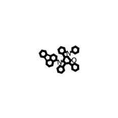 c1ccc(-n2c3ccccc3c3c2c2oc4ccccc4c2c2c4ccccc4n(-c4ccc5c6c(cccc46)-c4ccccc4-5)c23)cc1